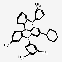 Cc1cccc(N2c3ccccc3B3c4ccc(C)cc4N(c4cc(C)cc(C)c4)c4cc(C5CCCCC5)cc2c43)c1